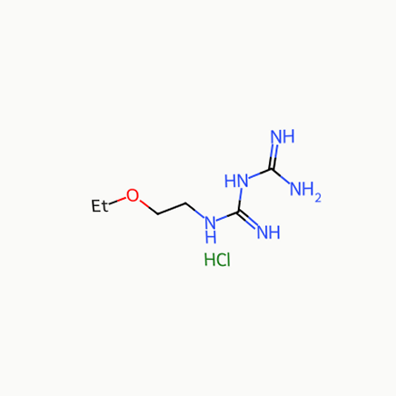 CCOCCNC(=N)NC(=N)N.Cl